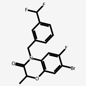 CC1Oc2cc(Br)c(F)cc2N(Cc2cccc(C(F)F)c2)C1=O